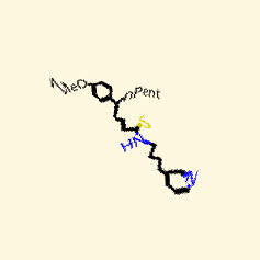 CCCCC/C(=C\C=C\C(=S)NCCCCc1cccnc1)c1ccc(OC)cc1